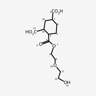 O=C(O)C1CCC(C(=O)OCCOCCO)C(C(=O)O)C1